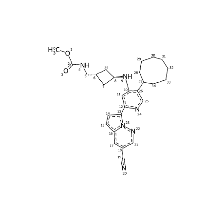 COC(=O)NC[C@H]1C[C@H](Nc2cc(-c3ccc4cc(C#N)cnn34)ncc2C2CCCCCCC2)C1